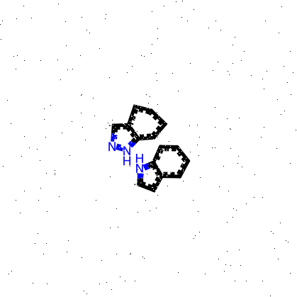 [c]1cc2ccccc2[nH]1.[c]1n[nH]c2ccccc12